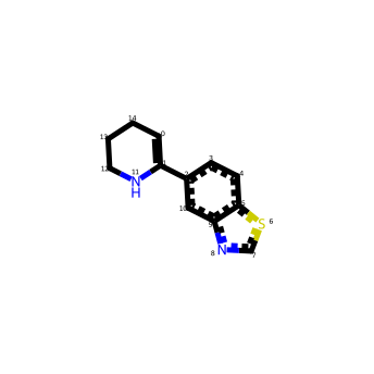 C1=C(c2ccc3scnc3c2)NCCC1